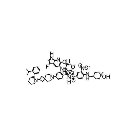 CC(C)c1ccccc1[C@H]1CCCCN1C1CC2(CCN(c3ccc(C(=O)NS(=O)(=O)c4ccc(NCC5CCC(C)(O)CC5)c([N+](=O)[O-])c4)c(N4c5cc6c(F)c[nH]c6nc5O[C@H]5COCC[C@@H]54)c3)CC2)C1